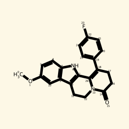 COc1ccc2[nH]c3c(c2c1)CCN1C(=O)CCC(c2ccc(F)cc2)=C31